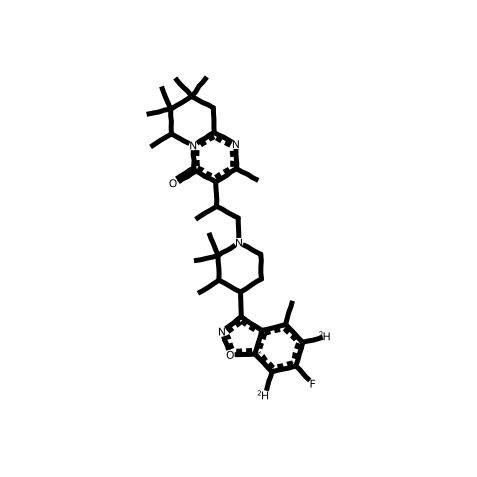 [2H]c1c(F)c([2H])c2onc(C3CCN(CC(C)c4c(C)nc5n(c4=O)C(C)C(C)(C)C(C)(C)C5)C(C)(C)C3C)c2c1C